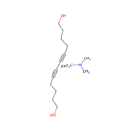 CCOC(=O)N(C)C.OCCCCC#CC#CCCCCO